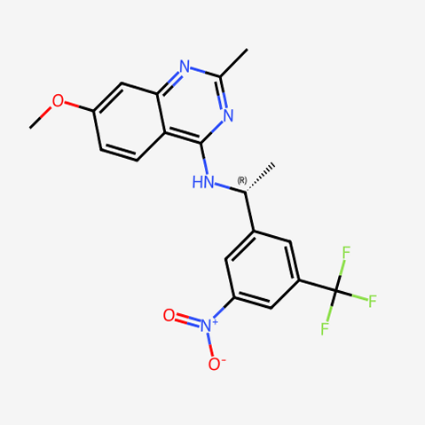 COc1ccc2c(N[C@H](C)c3cc([N+](=O)[O-])cc(C(F)(F)F)c3)nc(C)nc2c1